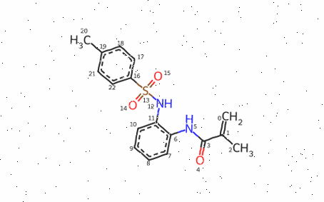 C=C(C)C(=O)Nc1ccccc1NS(=O)(=O)c1ccc(C)cc1